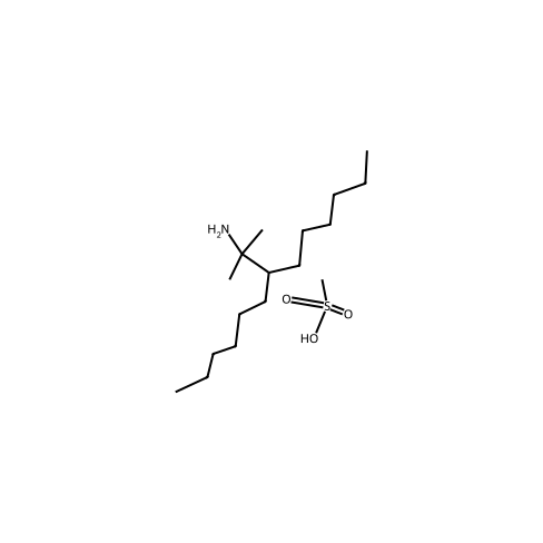 CCCCCCC(CCCCCC)C(C)(C)N.CS(=O)(=O)O